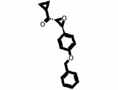 O=C(C1CC1)[C@@H]1O[C@H]1c1ccc(OCc2ccccc2)cc1